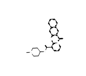 CN1CCC(NC(=O)c2cccn3c(=O)c4cc5ccccc5cc4nc23)CC1